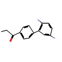 CCC(=O)c1ccc(-c2cc(N)ccc2N)cc1